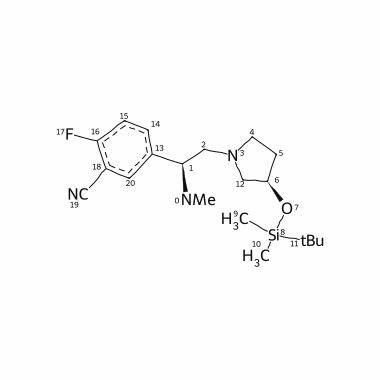 CN[C@H](CN1CC[C@@H](O[Si](C)(C)C(C)(C)C)C1)c1ccc(F)c(C#N)c1